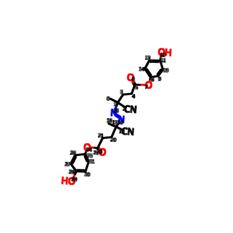 CC(C#N)(CCC(=O)Oc1ccc(O)cc1)/N=N/C(C)(C#N)CCC(=O)Oc1ccc(O)cc1